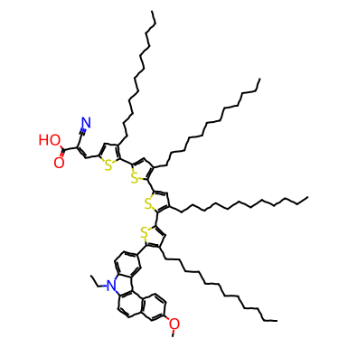 CCCCCCCCCCCCc1cc(-c2sc(-c3sc(-c4sc(/C=C(\C#N)C(=O)O)cc4CCCCCCCCCCCC)cc3CCCCCCCCCCCC)cc2CCCCCCCCCCCC)sc1-c1ccc2c(c1)c1c3ccc(OC)cc3ccc1n2CC